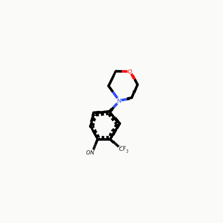 O=Nc1ccc(N2CCOCC2)cc1C(F)(F)F